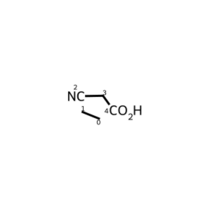 CC.N#CCC(=O)O